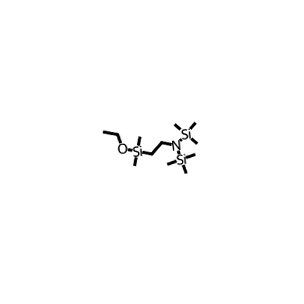 CCO[Si](C)(C)CCN([Si](C)(C)C)[Si](C)(C)C